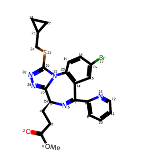 COC(=O)CC[C@@H]1N=C(c2ccccn2)c2cc(Br)ccc2-n2c(SCC3CC3)nnc21